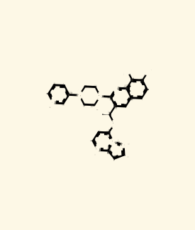 Cc1c(F)ccc2cc([C@H](C)Nc3ccnc4ccnn34)c(N3CCN(c4cccnc4)CC3)nc12